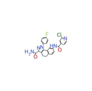 NC(=O)c1nn(-c2ccc(F)cc2)c2c1CCc1ccc(NC(=O)c3ccnc(Cl)c3)cc1-2